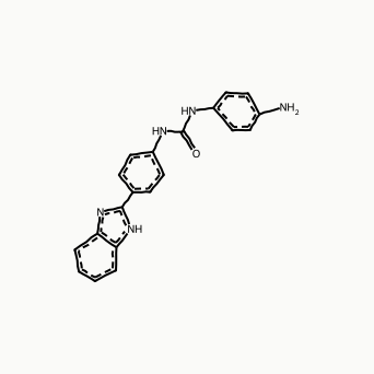 Nc1ccc(NC(=O)Nc2ccc(-c3nc4ccccc4[nH]3)cc2)cc1